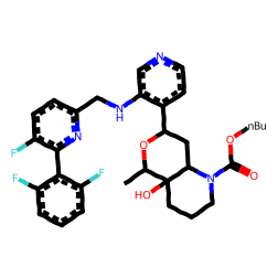 CCCCOC(=O)N1CCCC2(O)C(C)OC(c3ccncc3NCc3ccc(F)c(-c4c(F)cccc4F)n3)CC12